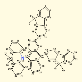 CC1(C)c2ccccc2-c2ccc(-c3ccc4c(N5c6ccccc6[Si](C)(C)c6ccccc65)c5ccccc5c(-c5ccc6c(c5)C(C)(C)c5ccccc5-6)c4c3)cc21